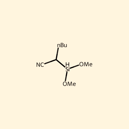 CCCCC(C#N)[SiH](OC)OC